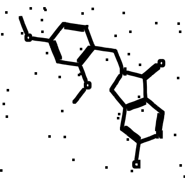 COc1ccc(CN2Cc3cc(Cl)ncc3C2=O)c(OC)c1